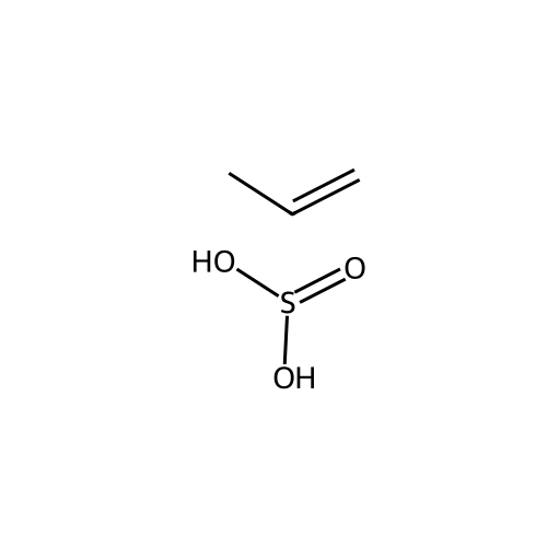 C=CC.O=S(O)O